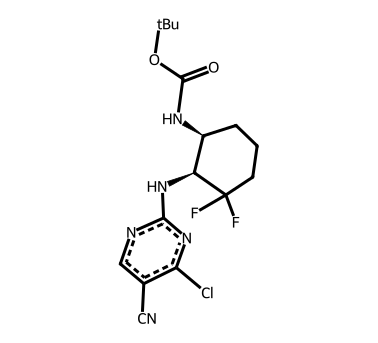 CC(C)(C)OC(=O)N[C@H]1CCCC(F)(F)[C@H]1Nc1ncc(C#N)c(Cl)n1